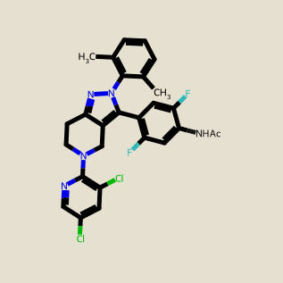 CC(=O)Nc1cc(F)c(-c2c3c(nn2-c2c(C)cccc2C)CCN(c2ncc(Cl)cc2Cl)C3)cc1F